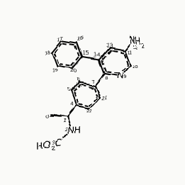 C[C@H](NC(=O)O)c1ccc(-c2ncc(N)cc2-c2ccccc2)cc1